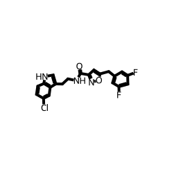 O=C(NCCc1c[nH]c2ccc(Cl)cc12)c1cc(Cc2cc(F)cc(F)c2)on1